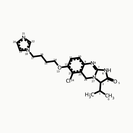 CC(C)C1C(=O)NC2=Nc3ccc(OCCCCn4ccnc4)c(Cl)c3CN21